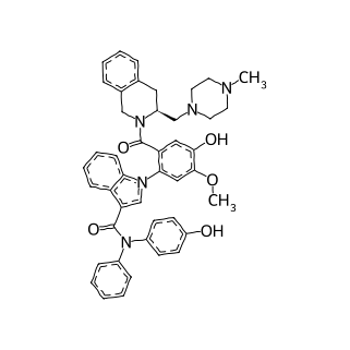 COc1cc(-n2cc(C(=O)N(c3ccccc3)c3ccc(O)cc3)c3ccccc32)c(C(=O)N2Cc3ccccc3C[C@H]2CN2CCN(C)CC2)cc1O